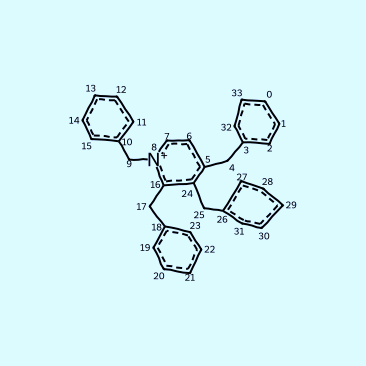 c1ccc(Cc2cc[n+](Cc3ccccc3)c(Cc3ccccc3)c2Cc2ccccc2)cc1